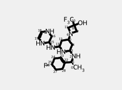 C[C@H](NC1CC(N2CC(O)(C(F)(F)F)C2)CC(NC2CNC=CN2)N1)C1=CC[C@@H](F)CC1